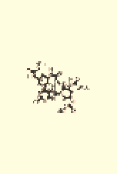 CC(C)(C)OC(=O)NC1CC(NC(=O)OC(C)(C)C)CN(c2nc3nc(Cl)nc(N4CC(NC(=O)OC(C)(C)C)CC(NC(=O)OC(C)(C)C)C4)c3[nH]2)C1